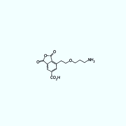 NCCCOCCc1cc(C(=O)O)cc2c1C(=O)OC2=O